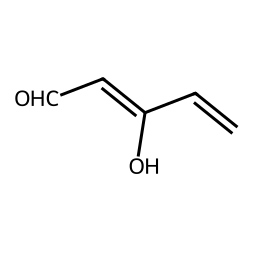 C=CC(O)=CC=O